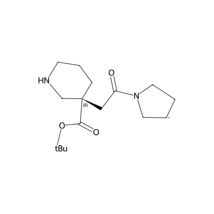 CC(C)(C)OC(=O)[C@@]1(CC(=O)N2C[CH]CC2)CCCNC1